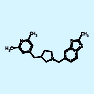 Cc1cc(CC2CCN(Cc3ccc4sc(C)nc4c3)C2)cc(C)n1